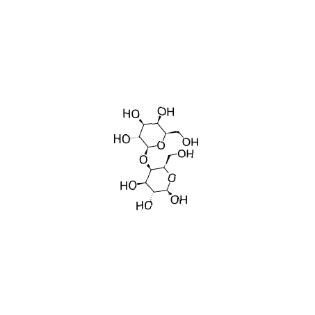 OC[C@H]1O[C@@H](O[C@@H]2[C@H](O)[C@@H](O)[C@H](O)O[C@@H]2CO)[C@H](O)[C@@H](O)[C@H]1O